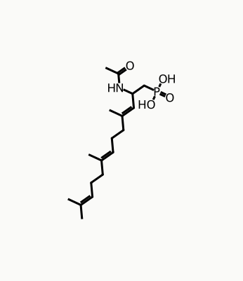 CC(=O)NC(/C=C(\C)CC/C=C(\C)CCC=C(C)C)CP(=O)(O)O